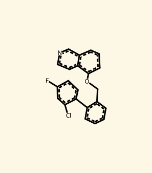 Fc1ccc(-c2ccccc2COc2cccc3cnccc23)c(Cl)c1